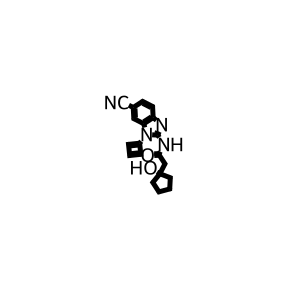 N#Cc1ccc2nc(NC(=O)CC3(O)CCCC3)n(C3=CC=C3)c2c1